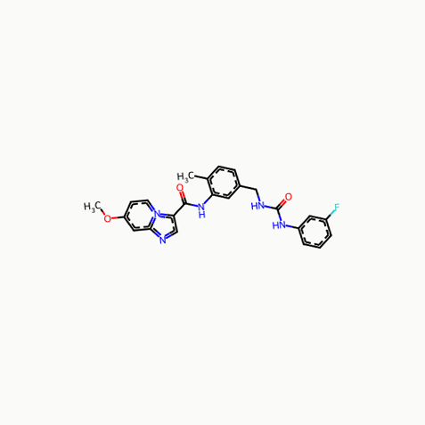 COc1ccn2c(C(=O)Nc3cc(CNC(=O)Nc4cccc(F)c4)ccc3C)cnc2c1